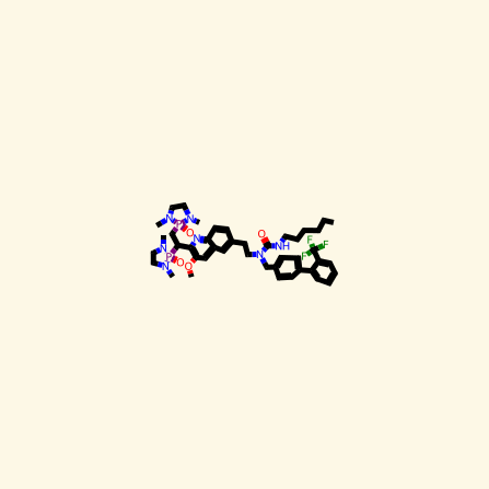 CCCCCCNC(=O)N(CCc1ccc2nc(C(CP3(=O)N(C)CCN3C)P3(=O)N(C)CCN3C)c(OC)cc2c1)Cc1ccc(-c2ccccc2C(F)(F)F)cc1